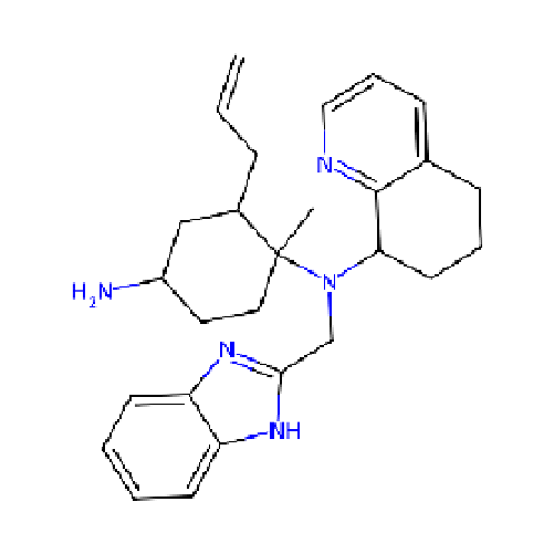 C=CCC1CC(N)CCC1(C)N(Cc1nc2ccccc2[nH]1)C1CCCc2cccnc21